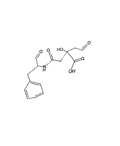 O=CCC(O)(CC(=O)NC(C=O)Cc1ccccc1)C(=O)O